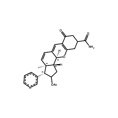 CC(=O)OC1C[C@H]2[C@@H]3OC4=C(C=C3C=C[C@]2(C)[C@H]1c1cccnc1)C(=O)CC(C(N)=O)C4